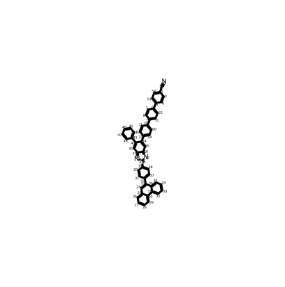 N#Cc1ccc(-c2ccc(-c3ccc(-c4cc5nn(-c6ccc(-c7cc8ccccc8c8ccccc78)cc6)nc5cc4-c4ccccc4)cc3)cc2)cc1